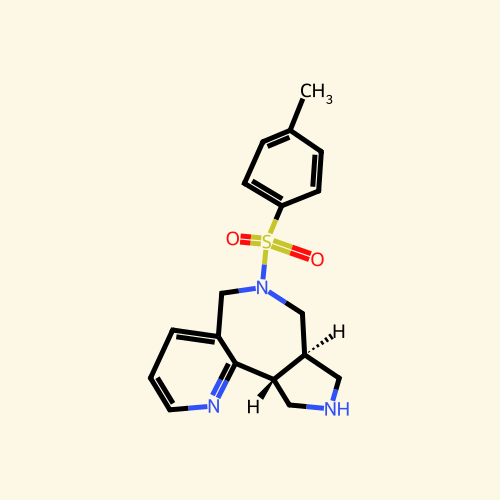 Cc1ccc(S(=O)(=O)N2Cc3cccnc3[C@H]3CNC[C@@H]3C2)cc1